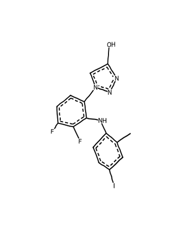 Cc1cc(I)ccc1Nc1c(-n2cc(O)nn2)ccc(F)c1F